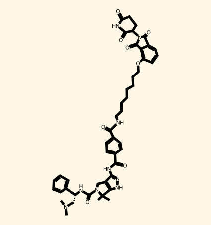 CN(C)C[C@@H](NC(=O)N1Cc2c(NC(=O)c3ccc(C(=O)NCCCCCCCCOc4cccc5c4C(=O)N(C4CCC(=O)NC4=O)C5=O)cc3)n[nH]c2C1(C)C)c1ccccc1